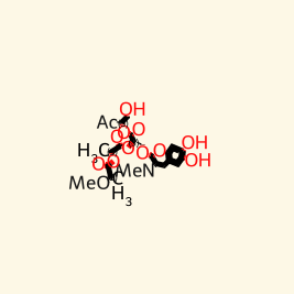 CNC(Cc1ccc(O)c(O)c1)C(=O)OC[C@H](OC(=O)[C@H](C)OC(=O)[C@H](C)OC)C(=O)O[C@@H](CO)C(C)=O